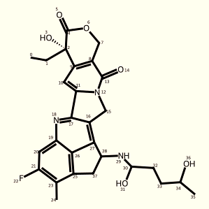 CC[C@@]1(O)C(=O)OCc2c1cc1n(c2=O)Cc2c-1nc1cc(F)c(C)c3c1c2C(NC(O)CCC(C)O)C3